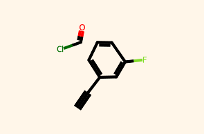 C#Cc1cccc(F)c1.O=CCl